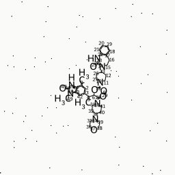 Cc1cc(C(C)C(OC(=O)N2CCC(N3CCc4ccccc4NC3=O)CC2)C(=O)N2CCC(N3CCOCC3)CC2)cc2c1[nH]c(=O)n2C